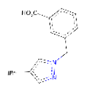 CC(C)c1cnn(Cc2cccc(C(=O)O)c2)c1